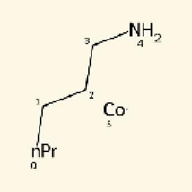 CCCCCCN.[Co]